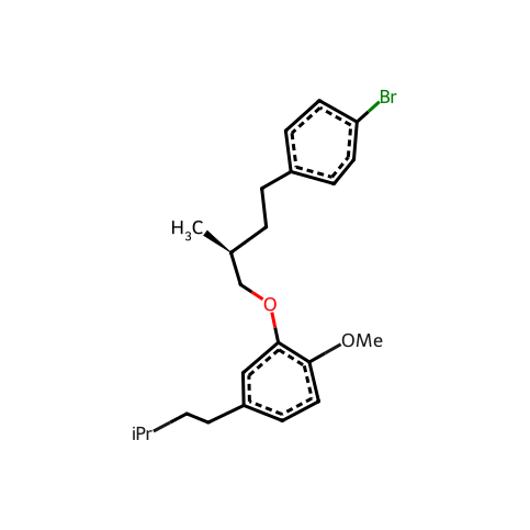 COc1ccc(CCC(C)C)cc1OC[C@@H](C)CCc1ccc(Br)cc1